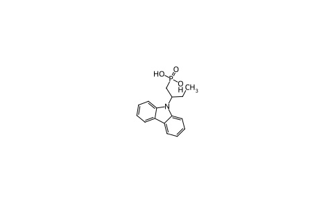 CCC(CP(=O)(O)O)n1c2ccccc2c2ccccc21